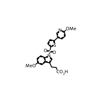 COc1ccc2c(c1)c(CCC(=O)O)cn2S(=O)(=O)c1ccc(-c2ccc(OC)nc2)s1